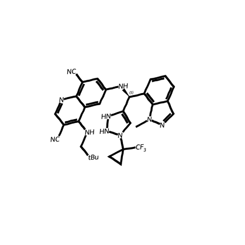 Cn1ncc2cccc([C@H](Nc3cc(C#N)c4ncc(C#N)c(NCC(C)(C)C)c4c3)C3=CN(C4(C(F)(F)F)CC4)NN3)c21